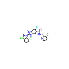 Cn1c(Nc2c(Cl)cccc2Cl)nc2cc(C(=O)NCc3ncccc3Cl)c(F)cc21